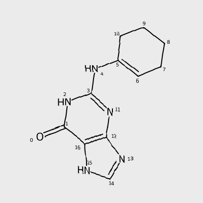 O=c1[nH]c(NC2=CCCCC2)nc2nc[nH]c12